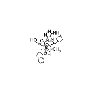 C[C@H](NP(=O)(Oc1cccc2ccccc12)O[C@H]1C[C@@H](CO)OC1n1cnc2c(N)ncnc21)C(=O)OCc1ccccc1